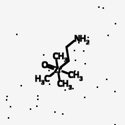 [CH3][Zr]([CH3])([CH3])([CH3])(=[O])[CH2]CN